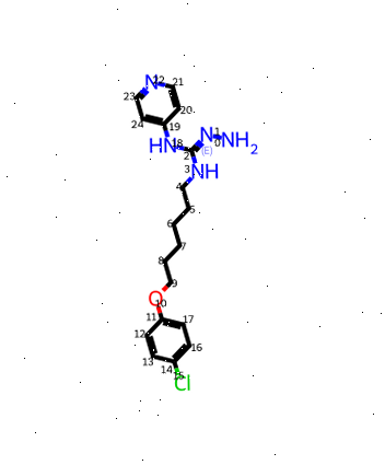 N/N=C(\NCCCCCCOc1ccc(Cl)cc1)Nc1ccncc1